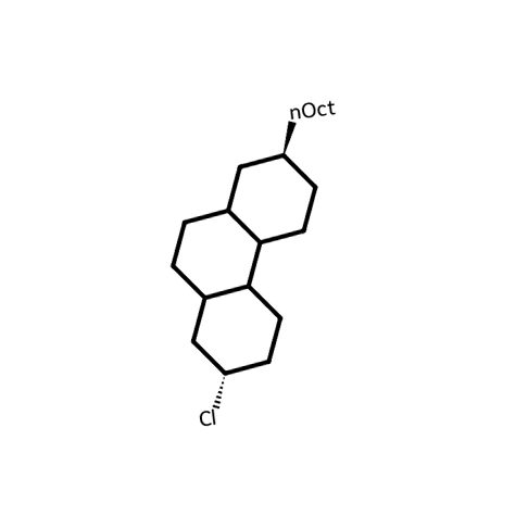 CCCCCCCC[C@H]1CCC2C(CCC3C[C@@H](Cl)CCC32)C1